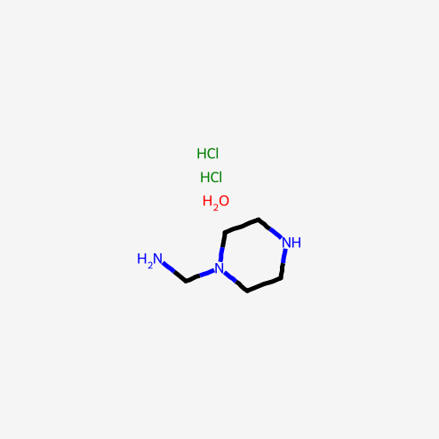 Cl.Cl.NCN1CCNCC1.O